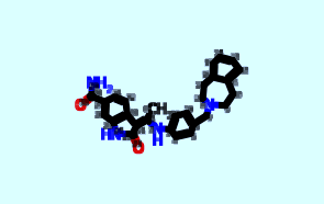 C/C(Nc1ccc(CN2CCc3ccccc3CC2)cc1)=C1/C(=O)Nc2cc(C(N)=O)ccc21